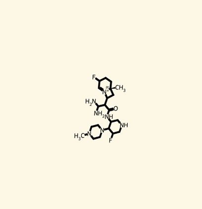 CN1CCN(C2C(F)CNCC2NC(=O)C(C(N)N)C2C[C@@]3(C)CCC(F)C=[N+]23)CC1